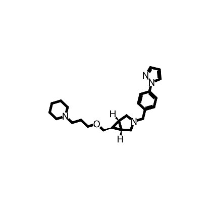 c1cnn(-c2ccc(CN3C[C@@H]4[C@@H](COCCCN5CCCCC5)[C@@H]4C3)cc2)c1